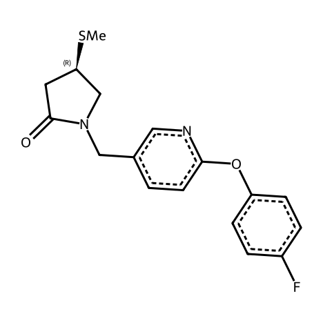 CS[C@@H]1CC(=O)N(Cc2ccc(Oc3ccc(F)cc3)nc2)C1